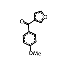 COc1ccc(C(=O)c2ccoc2)cc1